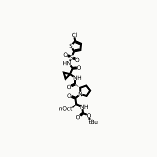 CCCCCCCC[C@H](NC(=O)OC(C)(C)C)C(=O)N1CCC[C@H]1C(=O)NC1(C(=O)NS(=O)(=O)c2ccc(Cl)s2)CC1